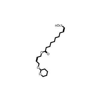 CCCCCCCC/C=C\CCCCCCCC(=O)OC/C=C\COC1CCCCO1